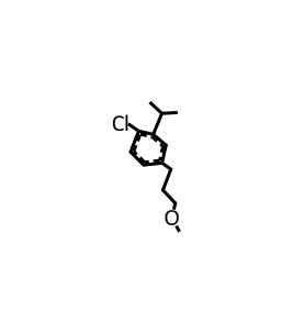 COCCCc1ccc(Cl)c(C(C)C)c1